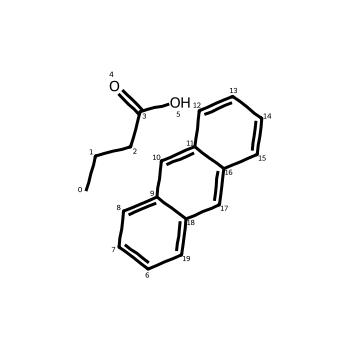 CCCC(=O)O.c1ccc2cc3ccccc3cc2c1